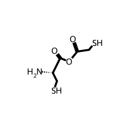 N[C@@H](CS)C(=O)OC(=O)CS